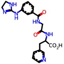 O=C(CNC(=O)c1cccc(NC2=NCCN2)c1)NC(Cc1cccnc1)C(=O)O